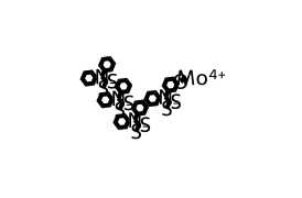 S=C([S-])N(C1CCCCC1)C1CCCCC1.S=C([S-])N(C1CCCCC1)C1CCCCC1.S=C([S-])N(C1CCCCC1)C1CCCCC1.S=C([S-])N(C1CCCCC1)C1CCCCC1.[O]=[Mo+4]